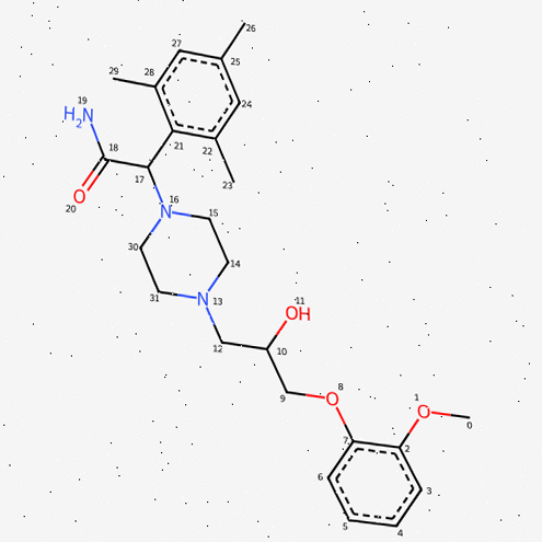 COc1ccccc1OCC(O)CN1CCN(C(C(N)=O)c2c(C)cc(C)cc2C)CC1